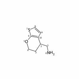 NCC1CCOc2sccc21